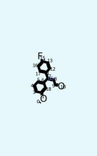 COc1cccc(/C(=C\C=O)c2ccc(F)cc2)c1